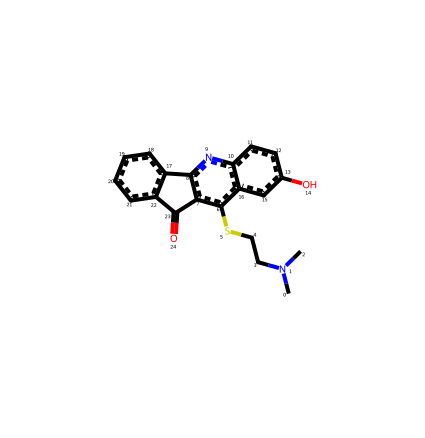 CN(C)CCSc1c2c(nc3ccc(O)cc13)-c1ccccc1C2=O